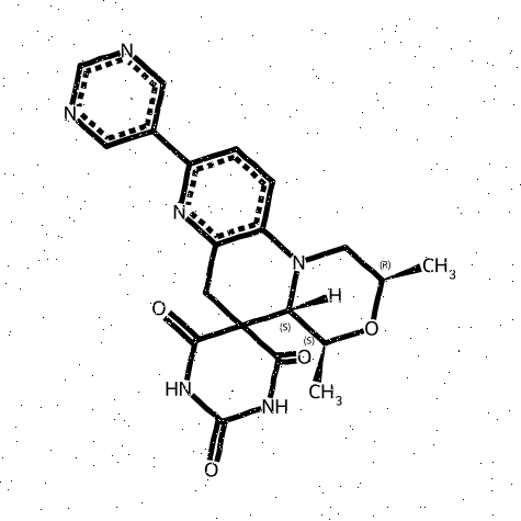 C[C@@H]1CN2c3ccc(-c4cncnc4)nc3CC3(C(=O)NC(=O)NC3=O)[C@H]2[C@H](C)O1